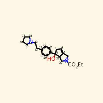 CCOC(=O)N1CC2=CCC(O)(c3ccc(CCN4CCCC4)cc3)C2C1